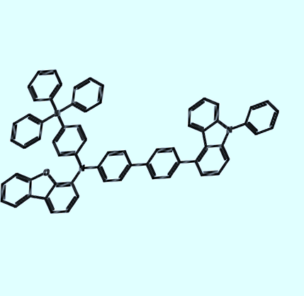 c1ccc(-n2c3ccccc3c3c(-c4ccc(-c5ccc(N(c6ccc([Si](c7ccccc7)(c7ccccc7)c7ccccc7)cc6)c6cccc7c6oc6ccccc67)cc5)cc4)cccc32)cc1